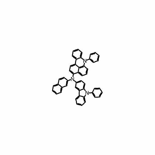 c1ccc(N2c3ccccc3-c3ccc(N(c4ccc5ccccc5c4)c4ccc5c(c4)c4ccccc4n5-c4ccccc4)c4cccc2c34)cc1